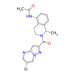 CC(=O)Nc1cccc2c1CCN(C(=O)c1cc3ncc(Br)cn3n1)C2C